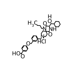 CCCCN1C(=O)[C@@H]([C@H](O)C2CCCCC2)NC(=O)C12CCN(Cc1cccc(COc3ccc(C(=O)O)cc3)c1)CC2.Cl